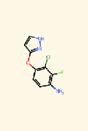 Nc1ccc(Oc2cc[nH]n2)c(Cl)c1F